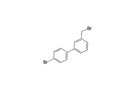 BrCc1cccc(-c2ccc(Br)cc2)c1